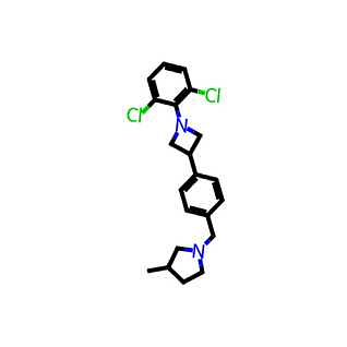 CC1CCN(Cc2ccc(C3CN(c4c(Cl)cccc4Cl)C3)cc2)C1